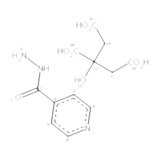 NNC(=O)c1ccncc1.O=C(O)CC(O)(CC(=O)O)C(=O)O